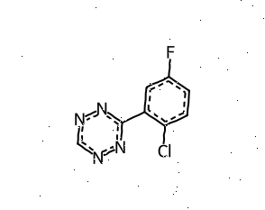 Fc1ccc(Cl)c(-c2nncnn2)c1